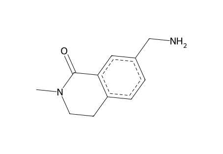 CN1CCc2ccc(CN)cc2C1=O